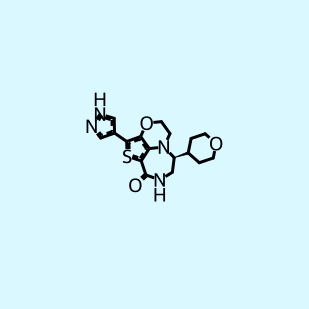 O=C1NC[C@H](C2CCOCC2)N2CCOc3c(-c4cn[nH]c4)sc1c32